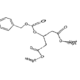 CCCCCCCOC(=O)CC(CC(=O)OCCCCCCC)OC(=O)OCc1ccccc1